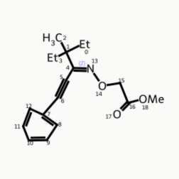 CCC(C)(CC)/C(C#Cc1ccccc1)=N/OCC(=O)OC